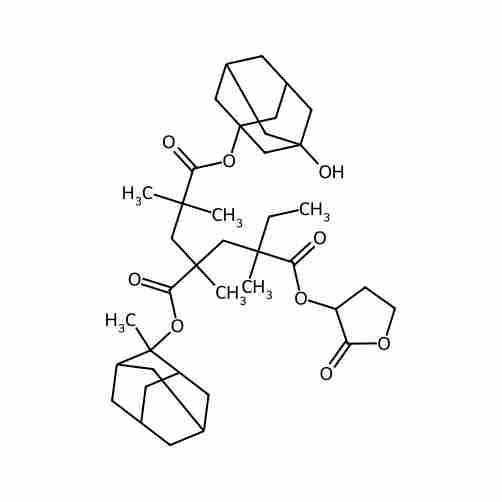 CCC(C)(CC(C)(CC(C)(C)C(=O)OC12CC3CC(CC(O)(C3)C1)C2)C(=O)OC1(C)C2CC3CC(C2)CC1C3)C(=O)OC1CCOC1=O